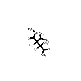 CNC(=O)C(C)(C(C)C)C(C)(C)C(C)C